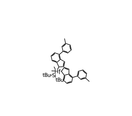 Cc1cccc(-c2cccc3c2C=C[CH]3[Hf]([CH3])([CH3])([CH]2C=Cc3c(-c4cccc(C)c4)cccc32)=[Si](C(C)(C)C)C(C)(C)C)c1